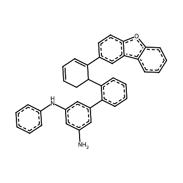 Nc1cc(Nc2ccccc2)cc(-c2ccccc2C2CC=CC=C2c2ccc3oc4ccccc4c3c2)c1